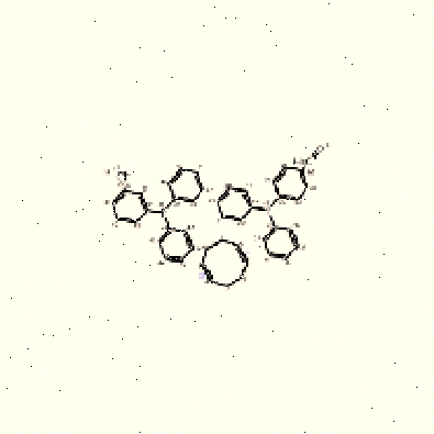 C1=C\CC/C=C\CC/1.C=O.[Cl-].[Ir+].c1ccc(P(c2ccccc2)c2ccccc2)cc1.c1ccc(P(c2ccccc2)c2ccccc2)cc1